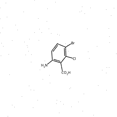 Nc1ccc(Br)c(Cl)c1C(=O)O